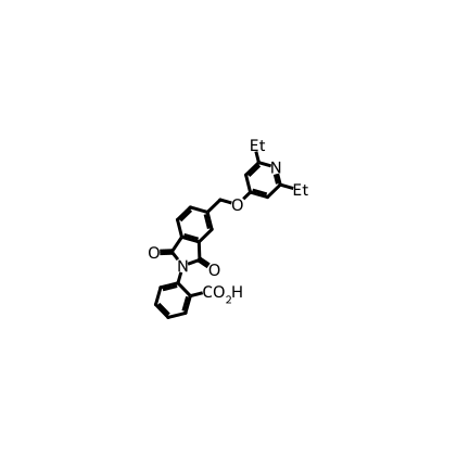 CCc1cc(OCc2ccc3c(c2)C(=O)N(c2ccccc2C(=O)O)C3=O)cc(CC)n1